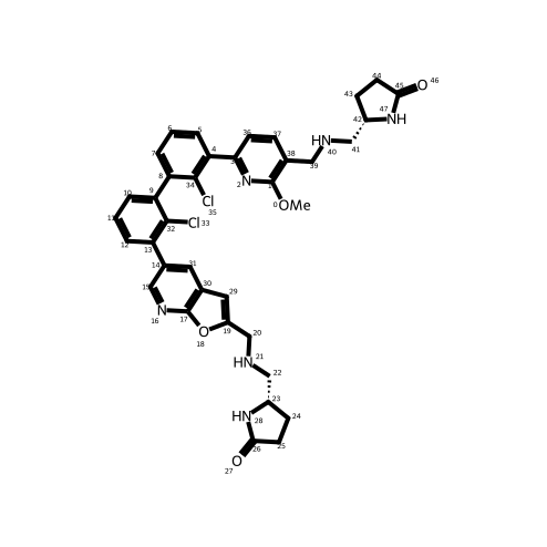 COc1nc(-c2cccc(-c3cccc(-c4cnc5oc(CNC[C@@H]6CCC(=O)N6)cc5c4)c3Cl)c2Cl)ccc1CNC[C@@H]1CCC(=O)N1